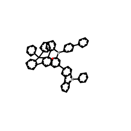 c1ccc(-c2ccc(N(c3cccc(-c4ccc5c(c4)c4ccccc4n5-c4ccccc4)c3)c3ccccc3-c3cccc4c3C(c3ccccc3)(c3ccccc3)c3ccccc3-4)cc2)cc1